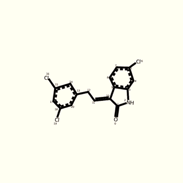 O=C1Nc2cc(Cl)ccc2/C1=C\Cc1cc(Cl)cc(Cl)c1